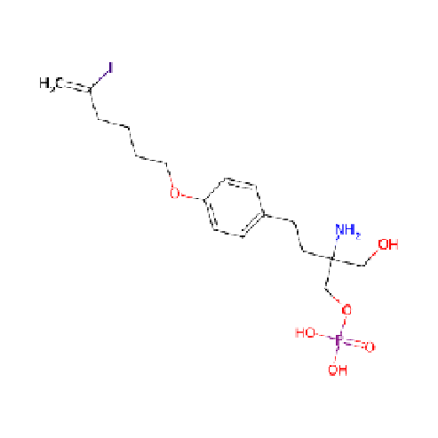 C=C(I)CCCCOc1ccc(CCC(N)(CO)COP(=O)(O)O)cc1